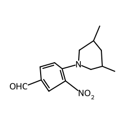 CC1CC(C)CN(c2ccc(C=O)cc2[N+](=O)[O-])C1